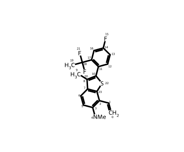 C=Cc1c(NC)ccc2c(C)c(-c3ccc(F)cc3C(C)(F)F)sc12